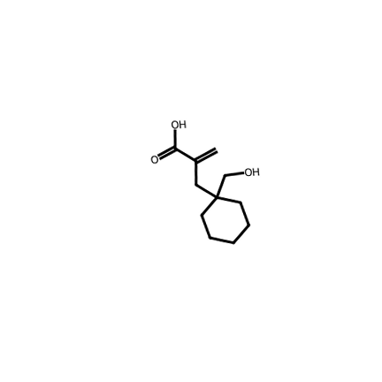 C=C(CC1(CO)CCCCC1)C(=O)O